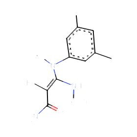 CC/C(C(N)=O)=C(/NC=O)N(C(C)=O)c1cc(C)cc(C)c1